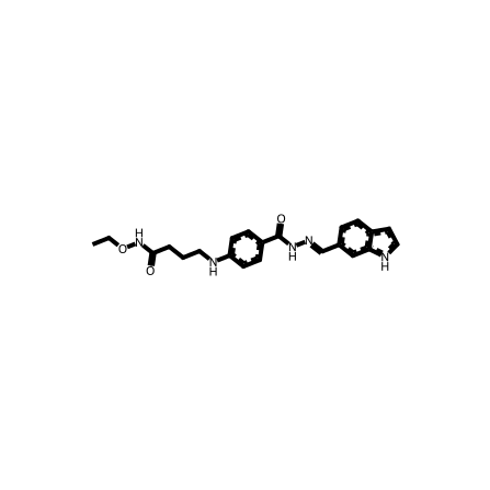 CCONC(=O)CCCNc1ccc(C(=O)N/N=C/c2ccc3cc[nH]c3c2)cc1